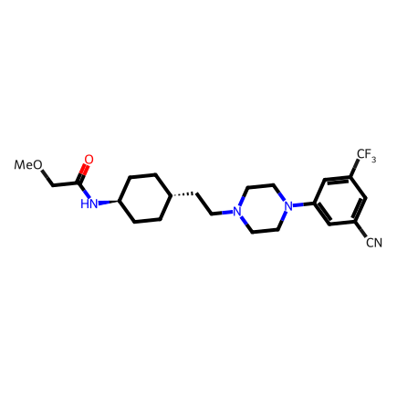 COCC(=O)N[C@H]1CC[C@H](CCN2CCN(c3cc(C#N)cc(C(F)(F)F)c3)CC2)CC1